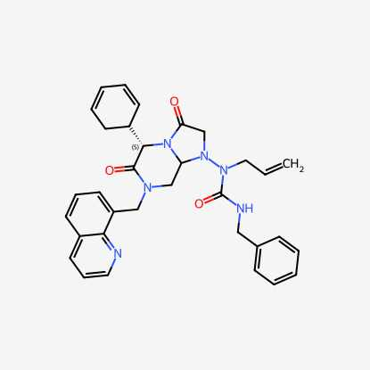 C=CCN(C(=O)NCc1ccccc1)N1CC(=O)N2C1CN(Cc1cccc3cccnc13)C(=O)[C@@H]2C1C=CC=CC1